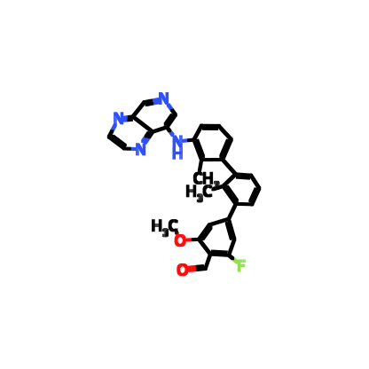 COc1cc(-c2cccc(-c3cccc(Nc4cncc5nccnc45)c3C)c2C)cc(F)c1C=O